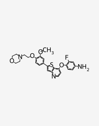 COc1cc(-c2cc3nccc(Oc4ccc(N)cc4F)c3s2)ccc1OCCN1CCOCC1